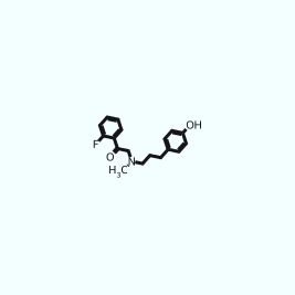 CN(CCCc1ccc(O)cc1)CC(=O)c1ccccc1F